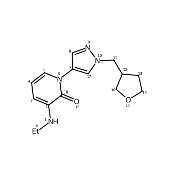 CCNc1cccn(-c2cnn(CC3CCOC3)c2)c1=O